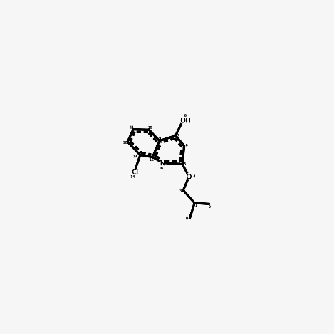 CC(C)COc1cc(O)c2cccc(Cl)c2n1